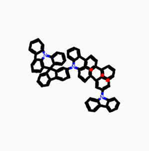 c1ccc(-c2ccc(-c3ccccc3N(c3ccc(-c4cccc(-n5c6ccccc6c6ccccc65)c4)cc3)c3ccc4c(c3)C3(c5ccccc5-4)c4ccccc4-n4c5ccccc5c5cccc3c54)cc2)cc1